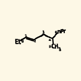 [CH2]CC=CCC(C)CCC